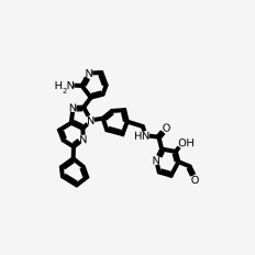 Nc1ncccc1-c1nc2ccc(-c3ccccc3)nc2n1-c1ccc(CNC(=O)c2nccc(C=O)c2O)cc1